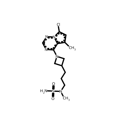 Cc1cc(Cl)n2ncnc(N3CC(CCCN(C)S(N)(=O)=O)C3)c12